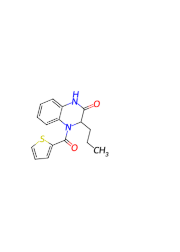 CCCC1C(=O)Nc2ccccc2N1C(=O)c1cccs1